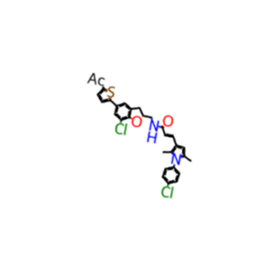 CC(=O)c1ccc(-c2cc(Cl)c3c(c2)CC(CNC(=O)C=Cc2cc(C)n(-c4ccc(Cl)cc4)c2C)O3)s1